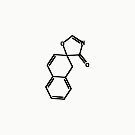 O=C1N=COC12C=Cc1ccccc1C2